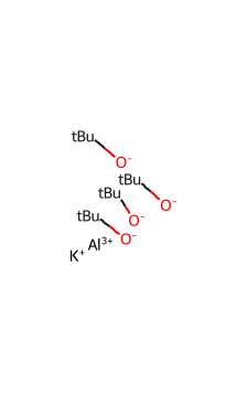 CC(C)(C)[O-].CC(C)(C)[O-].CC(C)(C)[O-].CC(C)(C)[O-].[Al+3].[K+]